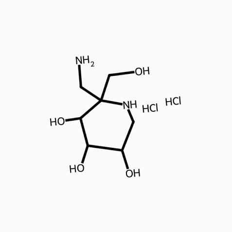 Cl.Cl.NCC1(CO)NCC(O)C(O)C1O